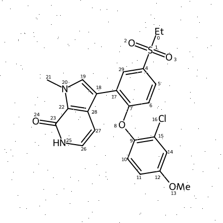 CCS(=O)(=O)c1ccc(Oc2ccc(OC)cc2Cl)c(-c2cn(C)c3c(=O)[nH]ccc23)c1